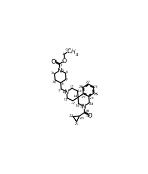 CCOC(=O)N1CCC(CN2CCC3(CC2)CN(C(=O)C2CC2)Cc2ccccc23)CC1